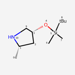 C[C@H]1C[C@@H](O[Si](C)(C)C(C)(C)C)CN1